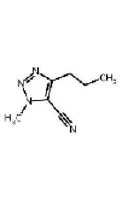 CCCc1nnn(C)c1C#N